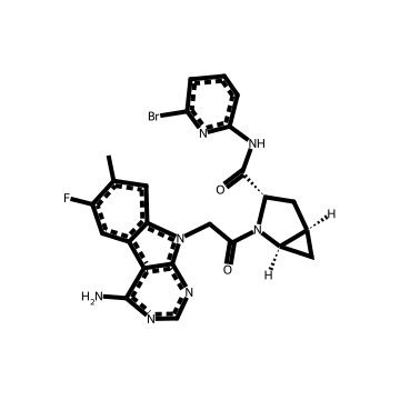 Cc1cc2c(cc1F)c1c(N)ncnc1n2CC(=O)N1[C@@H]2C[C@@H]2C[C@H]1C(=O)Nc1cccc(Br)n1